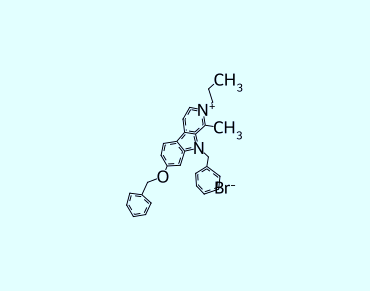 CCC[n+]1ccc2c3ccc(OCc4ccccc4)cc3n(Cc3ccccc3)c2c1C.[Br-]